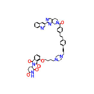 O=C1CCC(N2C(=O)c3cccc(OCCCCN4CCN(CC#Cc5ccc(/C=C/c6ccc(C(=O)N7CCc8cnc(-c9cnc%10ccccc%10c9)nc8C7)cc6)cc5)CC4)c3C2=O)C(=O)N1